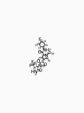 CNC(=O)C1(NC(=O)C(=O)c2c(C)c(C(=O)Nc3ccc(F)c(C)c3)n(C3CC3)c2C)CC(F)(F)C1